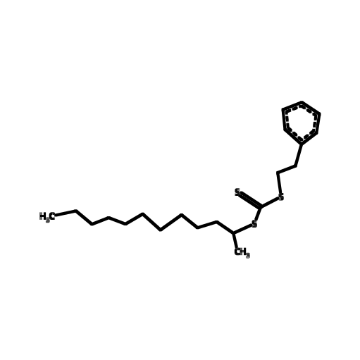 CCCCCCCCCCC(C)SC(=S)SCCc1ccccc1